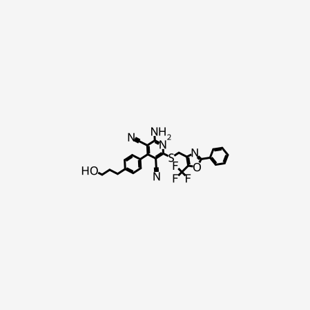 N#Cc1c(N)nc(SCc2nc(-c3ccccc3)oc2C(F)(F)F)c(C#N)c1-c1ccc(CCCO)cc1